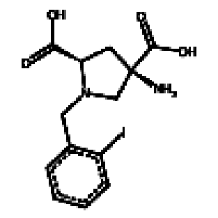 N[C@]1(C(=O)O)C[C@H](C(=O)O)N(Cc2ccccc2I)C1